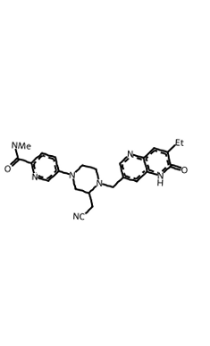 CCc1cc2ncc(CN3CCN(c4ccc(C(=O)NC)nc4)CC3CC#N)cc2[nH]c1=O